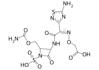 NC(=O)OCC1C(NC(=O)/C(=N\OCC(=O)O)c2nsc(N)n2)C(=O)N1S(=O)(=O)O